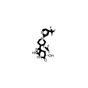 O=C1Nc2[nH]nc(C3CCN(c4cc(C(F)(F)F)ccn4)CC3)c2[C@H](C(F)(F)F)[C@@H]1O